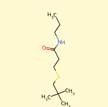 CCCNC(=O)CCSCC(C)(C)C